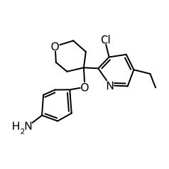 CCc1cnc(C2(Oc3ccc(N)cc3)CCOCC2)c(Cl)c1